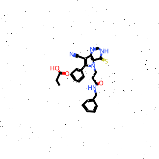 CCC(=O)O.N#Cc1c(-c2ccccc2)n(CCC(=O)NCc2ccccc2)c2c(=S)[nH]cnc12